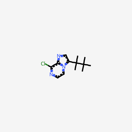 CC(C)(C)C(C)(C)c1cnc2c(Cl)nccn12